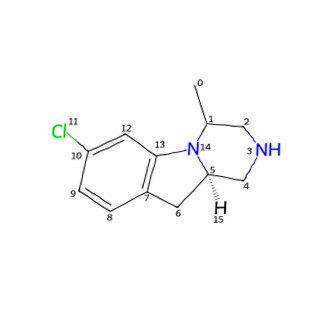 CC1CNC[C@H]2Cc3ccc(Cl)cc3N12